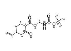 C=CC1CCC(C(=O)OCNC(=O)OC(C)(C)C)C(=O)C1